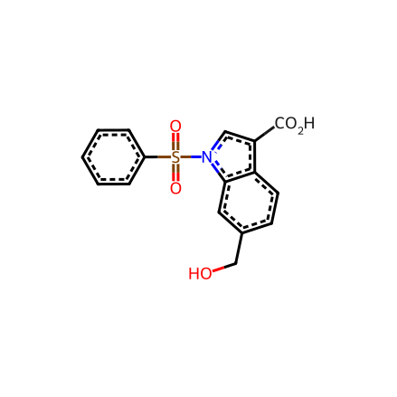 O=C(O)c1cn(S(=O)(=O)c2ccccc2)c2cc(CO)ccc12